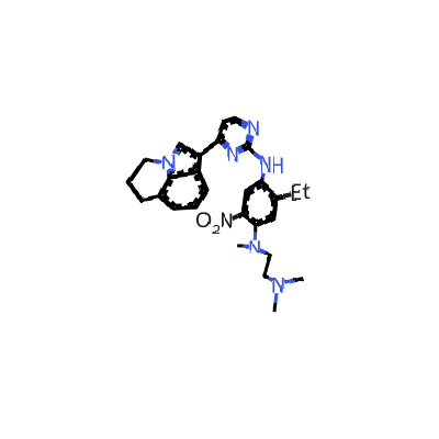 CCc1cc(N(C)CCN(C)C)c([N+](=O)[O-])cc1Nc1nccc(-c2cn3c4c(cccc24)CCC3)n1